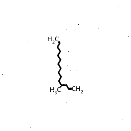 C=CCCCCCCCCCC(C)CC=C